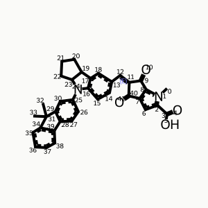 Cn1c(C(=O)O)cc2c1C(=O)/C(=C/c1ccc3c(c1)C1CCCC1N3c1ccc3c(c1)C(C)(C)c1ccccc1-3)C2=O